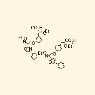 CCO/N=C(\COc1ccc(CC(OCC)C(=O)O)cc1)c1nc(-c2ccccc2)co1.CCO/N=C(\COc1cccc(CC(OCC)C(=O)O)c1)c1nc(-c2ccccc2)co1